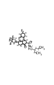 C=CCC(CC)CCNC(=O)c1cn(-c2ccc(F)cc2F)c2nc(N3CC(F)(F)C(F)(F)C3)ccc2c1=O